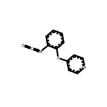 O=C=Nc1ccccc1Oc1ccncc1